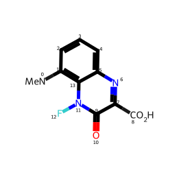 CNc1cccc2nc(C(=O)O)c(=O)n(F)c12